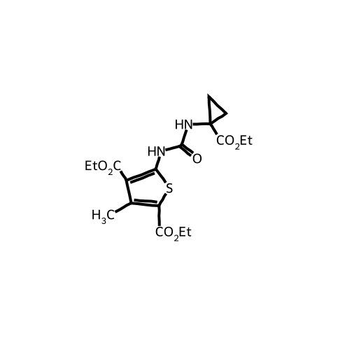 CCOC(=O)c1sc(NC(=O)NC2(C(=O)OCC)CC2)c(C(=O)OCC)c1C